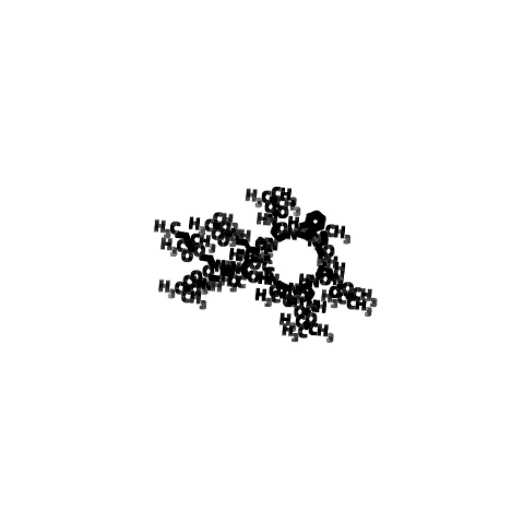 CCCC(C)(C)C(=O)OCCC(=O)N[C@@H](CCNC(=O)OC(C)(C)C)C(=O)N[C@H](C(=O)N[C@@H](CCNC(=O)OC(C)(C)C)C(=O)N[C@H]1CCNC(=O)[C@H](C(C)O)NC(=O)[C@H](CCNC(=O)OC(C)(C)C)NC(=O)[C@H](CCNC(=O)OC(C)(C)C)NC(=O)[C@H](CC(C)C)NC(=O)[C@@H](Cc2ccccc2)NC(=O)[C@H](CCNC(=O)OC(C)(C)C)NC1)C(C)O